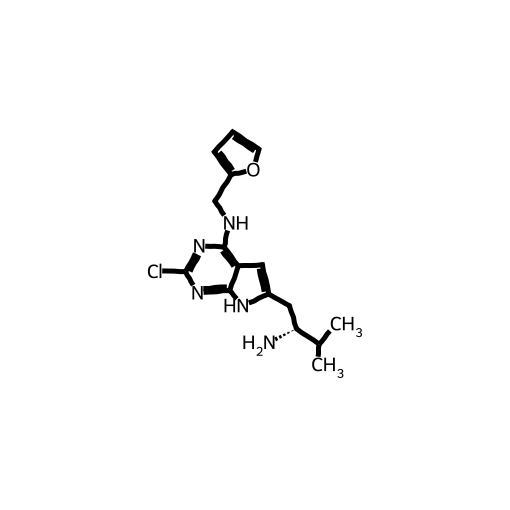 CC(C)[C@H](N)Cc1cc2c(NCc3ccco3)nc(Cl)nc2[nH]1